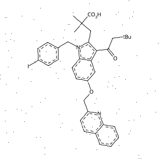 CC(C)(C)CC(=O)c1c(CC(C)(C)C(=O)O)n(Cc2ccc(I)cc2)c2ccc(OCc3ccc4ccccc4n3)cc12